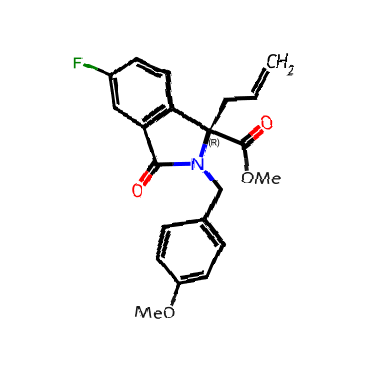 C=CC[C@]1(C(=O)OC)c2ccc(F)cc2C(=O)N1Cc1ccc(OC)cc1